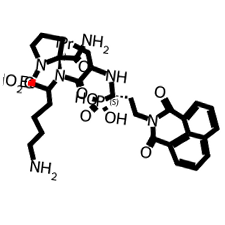 CCN1CCC[C@@]1(C(N)=O)N(C(=O)C(CC(C)C)N[C@H](CCN1C(=O)c2cccc3cccc(c23)C1=O)P(=O)(O)O)C(CCCCN)C(=O)O